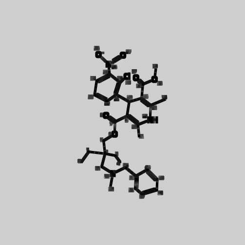 CCC(CC)(COC(=O)C1=C(C)NC(C)=C(C(=O)OC)C1c1cccc([N+](=O)[O-])c1Cl)CN(C)Cc1ccccc1